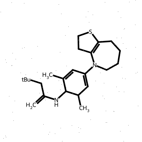 C=C(CC(C)(C)C)NC1C(C)=CC(N2CCCCC3=C2CCS3)=CC1C